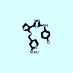 CC(=O)Nc1cc(CSc2sccc2-c2nnc(Nc3ccc(Cl)cc3)o2)ccn1